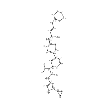 CC(C)C(C(=O)Nc1cc(C2CC2)[nH]n1)c1cccc(-c2ccc(NC(=O)/C=C/CN3CCCCC3)nc2)c1